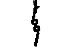 CCCCCCCc1ccc(C2CCC(CCC=CC=C(F)C#N)CC2)cc1